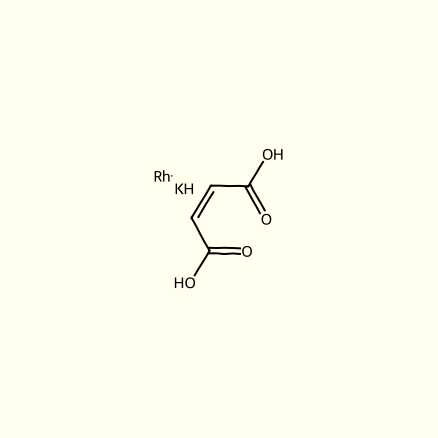 O=C(O)/C=C\C(=O)O.[KH].[Rh]